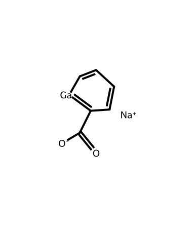 O=C([O-])[C]1=[Ga][CH]=CC=C1.[Na+]